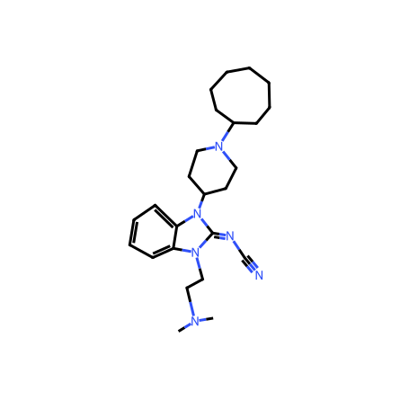 CN(C)CCn1c(=NC#N)n(C2CCN(C3CCCCCCC3)CC2)c2ccccc21